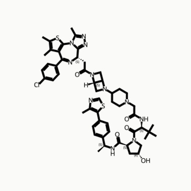 Cc1ncsc1-c1ccc([C@H](C)NC(=O)[C@@H]2C[C@@H](O)CN2C(=O)[C@@H](NC(=O)CN2CCC(N3C[C@H]4C3CN4C(=O)C[C@@H]3N=C(c4ccc(Cl)cc4)c4c(sc(C)c4C)-n4c(C)nnc43)CC2)C(C)(C)C)cc1